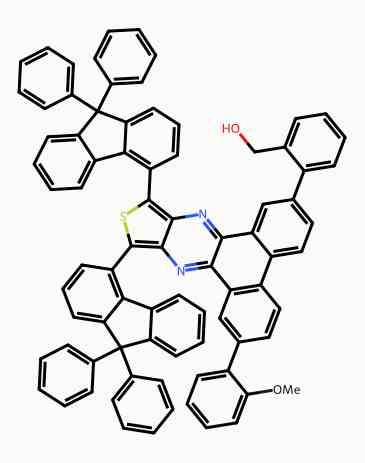 COc1ccccc1-c1ccc2c3ccc(-c4ccccc4CO)cc3c3nc4c(-c5cccc6c5-c5ccccc5C6(c5ccccc5)c5ccccc5)sc(-c5cccc6c5-c5ccccc5C6(c5ccccc5)c5ccccc5)c4nc3c2c1